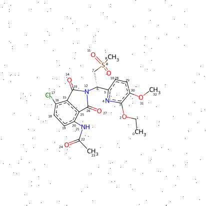 CCOc1nc([C@@H](CS(C)(=O)=O)N2C(=O)c3c(Cl)ccc(NC(C)=O)c3C2=O)ccc1OC